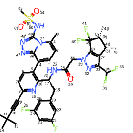 Cc1ccc(-c2ccc(C#CC(C)(C)C)nc2[C@H](Cc2cc(F)cc(F)c2)NC(=O)Cn2nc(C(F)F)c3c2C(F)(F)[C@H](C)[C@@H]3C)c2nnc(NS(C)(=O)=O)n12